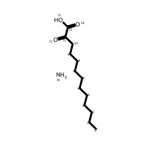 CCCCCCCCCCCC(=O)C(=O)O.N